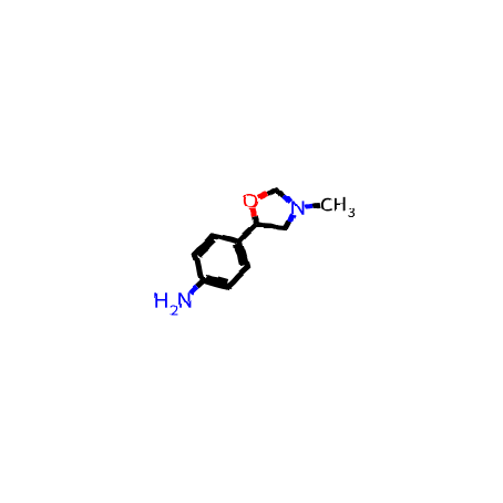 CN1COC(c2ccc(N)cc2)C1